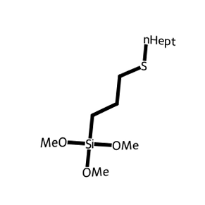 CCCCCCCSCCC[Si](OC)(OC)OC